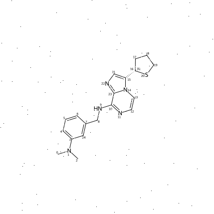 CN(C)c1cccc(CNc2nccn3c([C@@H]4CCCS4)cnc23)c1